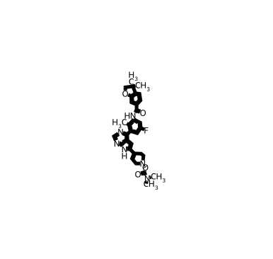 Cc1c(NC(=O)c2ccc3c(c2)OCC3(C)C)cc(F)cc1-c1ncnc2[nH]c(C3=CCN(OC(=O)N(C)C)CC3)cc12